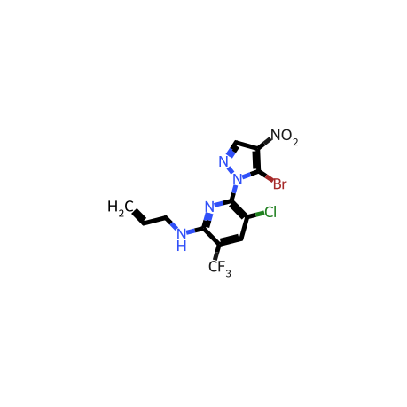 C=CCNc1nc(-n2ncc([N+](=O)[O-])c2Br)c(Cl)cc1C(F)(F)F